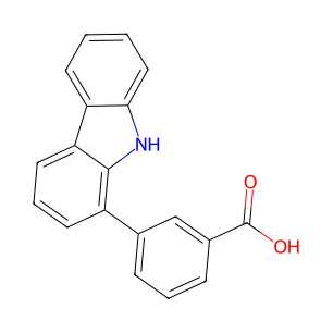 O=C(O)c1cccc(-c2cccc3c2[nH]c2ccccc23)c1